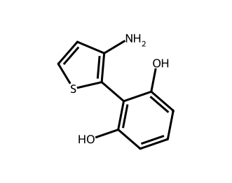 Nc1ccsc1-c1c(O)cccc1O